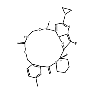 C=C1CCc2ccc(C)cc2C(=C)N2CCCC[C@H]2c2nn3c(cc(C4CC4)nc3c2F)N(C)CCN1